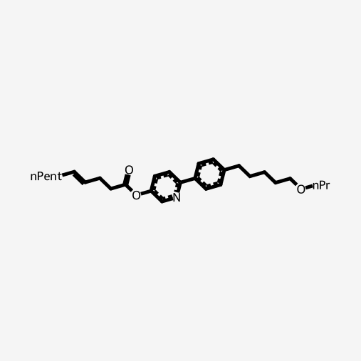 CCCCCC=CCCC(=O)Oc1ccc(-c2ccc(CCCCCOCCC)cc2)nc1